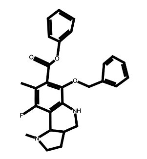 Cc1c(F)c2c(c(OCc3ccccc3)c1C(=O)Oc1ccccc1)NCC1CCN(C)C21